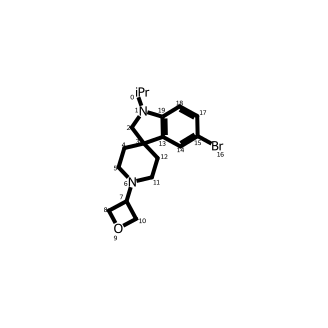 CC(C)N1CC2(CCN(C3COC3)CC2)c2cc(Br)ccc21